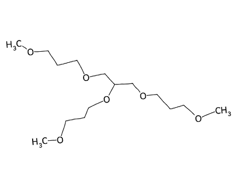 COCCCOCC(COCCCOC)OCCCOC